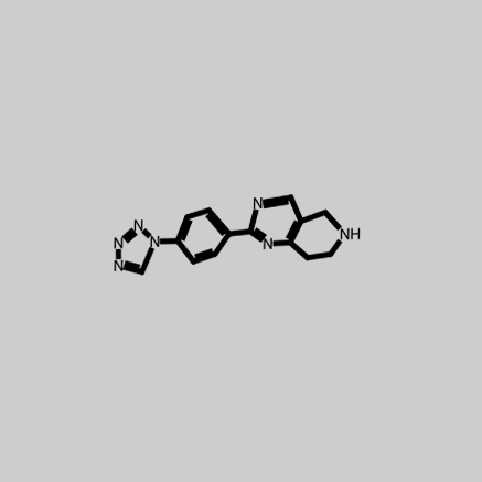 c1cc(-n2cnnn2)ccc1-c1ncc2c(n1)CCNC2